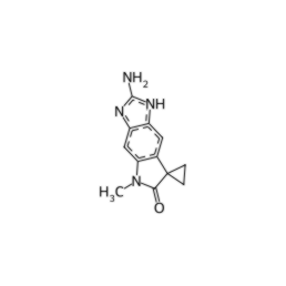 CN1C(=O)C2(CC2)c2cc3[nH]c(N)nc3cc21